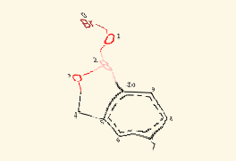 BrOB1OCc2ccccc21